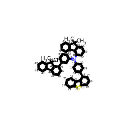 CC1(C)c2ccccc2-c2c(N(c3ccc(-c4cccc5sc6ccccc6c45)cc3)c3cccc(-c4cccc5c4C(C)(C)c4ccccc4-5)c3)cccc21